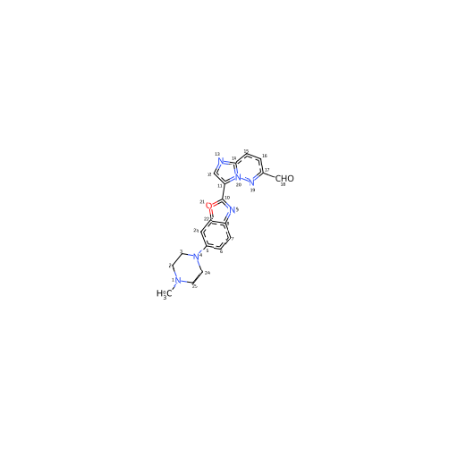 CN1CCN(c2ccc3nc(-c4cnc5ccc(C=O)nn45)oc3c2)CC1